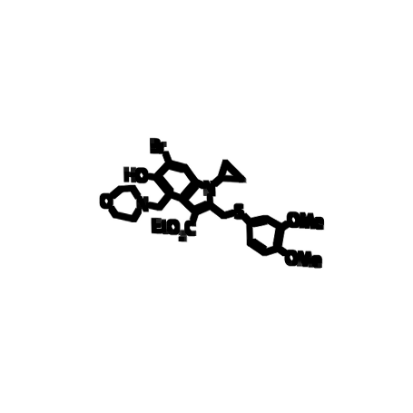 CCOC(=O)c1c(CSc2ccc(OC)c(OC)c2)n(C2CC2)c2cc(Br)c(O)c(CN3CCOCC3)c12